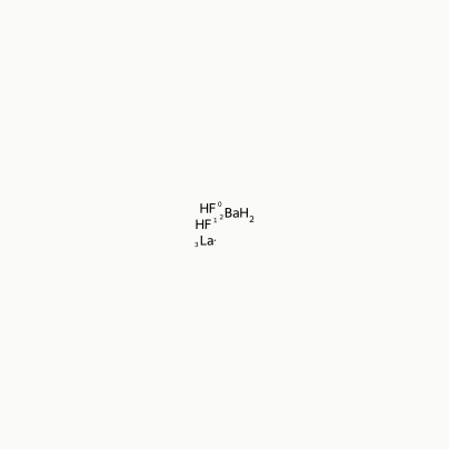 F.F.[BaH2].[La]